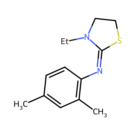 CCN1CCSC1=Nc1ccc(C)cc1C